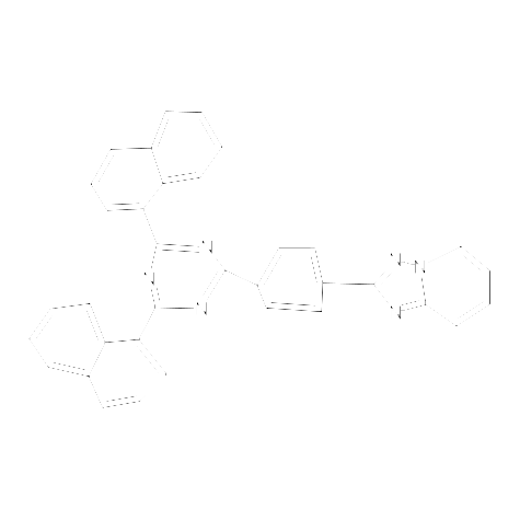 c1ccc2c(-c3nc(-c4ccc(-c5nc6ccccn6n5)cc4)nc(-c4cccc5ccccc45)n3)cccc2c1